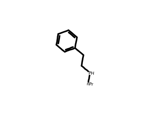 CCCPCCc1ccccc1